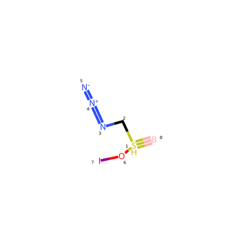 B#[SH](CN=[N+]=[N-])OI